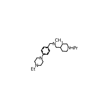 CCN1CCN(c2ccc(CN(C)CC3CCN(C(C)C)CC3)cc2)CC1